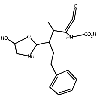 CC(C(=C=O)NC(=O)O)C(CCc1ccccc1)C1NCC(O)O1